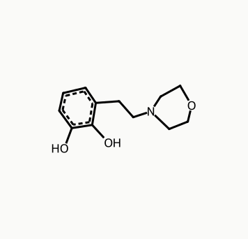 Oc1cccc(CCN2CCOCC2)c1O